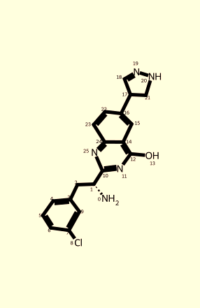 N[C@H](Cc1cccc(Cl)c1)c1nc(O)c2cc(C3C=NNC3)ccc2n1